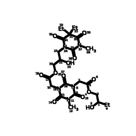 CCC(O)COC(=O)Cn1c(=O)n(C)c(=O)n(CC(=O)OCC(O)CN2C(=O)N(C)C(=O)C(CC)(CC)C2=O)c1=O